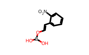 O=[N+]([O-])c1ccccc1C=COB(O)O